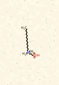 CCCCCCCCCCCCCCC[N+](C)(C)CCCS(=O)(=O)O